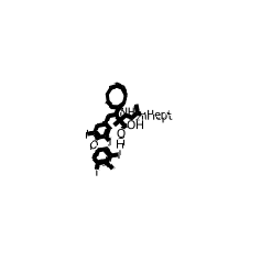 CCCCCCCC(C)CCC(C)(C(O)O)C(Cc1cc(I)c(Oc2cc(I)c(C)c(I)c2)c(I)c1)C1(N)CCCCCCCC1